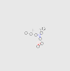 CC1(C)C2=C(C=CCC2)c2ccc(N(c3ccc(-c4ccc(-c5ccccc5)cc4)cc3)c3ccc(-c4cccc5c4oc4ccccc45)cc3)cc21